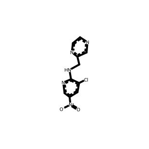 O=[N+]([O-])c1cnc(NCc2cnccn2)c(Cl)c1